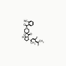 C=C(/C=C(F)\C=C(/C)F)[C@@H]1CC[C@H]2OC3(CCN(C(=O)c4ccccc4C#N)CC3)C(=O)N21